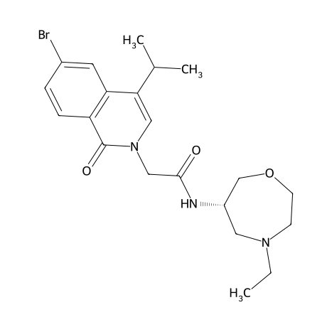 CCN1CCOC[C@@H](NC(=O)Cn2cc(C(C)C)c3cc(Br)ccc3c2=O)C1